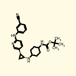 CC(C)(C)OC(=O)NC1CCC(N[C@@H]2C[C@H]2c2ccc(Nc3cccc(C#N)c3)nc2)CC1